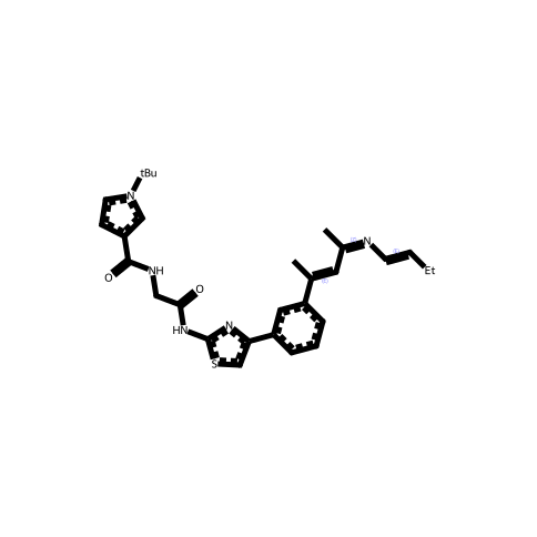 CC/C=C/N=C(C)\C=C(/C)c1cccc(-c2csc(NC(=O)CNC(=O)c3ccn(C(C)(C)C)c3)n2)c1